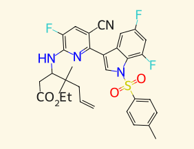 C=CCC(C)(C)C(CC(=O)OCC)Nc1nc(-c2cn(S(=O)(=O)c3ccc(C)cc3)c3c(F)cc(F)cc23)c(C#N)cc1F